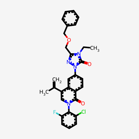 C=C(C)c1cn(-c2c(F)cccc2Cl)c(=O)c2ccc(-n3nc(COCc4ccccc4)n(CC)c3=O)cc12